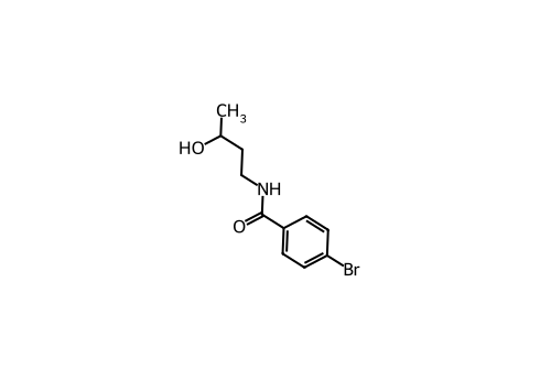 CC(O)CCNC(=O)c1ccc(Br)cc1